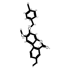 CCc1ccc2c(c1)c(=O)oc1cc(OCc3ccc(C)cc3)c(OC)cc12